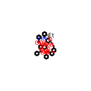 CCS[C@@H]1O[C@@H](COCc2ccccc2)C(OC2OC(COC(=O)c3ccccc3)C(OC(=O)c3ccccc3)C(OC(=O)c3ccccc3)C2OC(=O)c2ccccc2)C(OCc2ccccc2)C1Nc1ccccc1